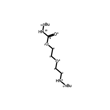 CCCCNCCOCCOC(=O)NCCCC